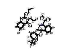 CCCOc1nc2ccc(I)cc2c(=O)n1CCC.CO/C=C(/C(=O)OC)c1ccccc1COc1cccc(C(F)(F)F)n1